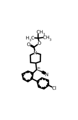 CC(C)(C)OC(=O)N1CCC([C@@H](C#N)c2ccccc2-c2ccc(Cl)cc2)CC1